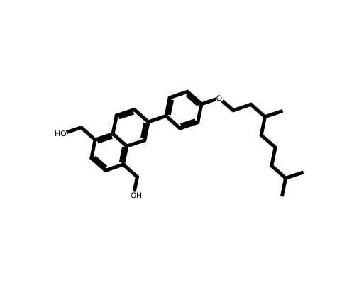 CC(C)CCCC(C)CCOc1ccc(-c2ccc3c(CO)ccc(CO)c3c2)cc1